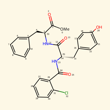 COC(=O)[C@H](Cc1ccccc1)NC(=O)[C@H](Cc1ccc(O)cc1)NC(=O)c1ccccc1Cl